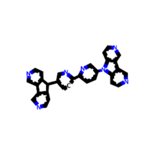 c1cc2c(cn1)-c1cnccc1C2c1ccc(-c2ccc(-n3c4ccncc4c4cnccc43)cn2)nc1